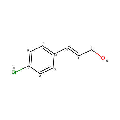 [O]CC=Cc1ccc(Br)cc1